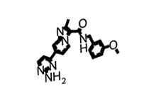 COc1cccc(CNC(=O)c2c(C)nc3cc(-c4ccnc(N)n4)ccn23)c1